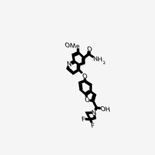 COc1cc2nccc(Oc3ccc4oc(C(O)N5CC(F)(F)C5)cc4c3)c2cc1C(N)=O